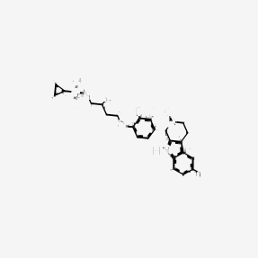 CCOC(=O)N1CCc2c([nH]c3ccc(Cl)cc23)[C@@H]1c1ccc(OCCC(O)CNS(=O)(=O)C2CC2)cc1